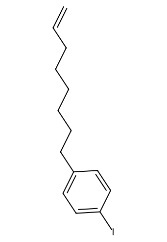 C=CCCCCCCc1ccc(I)cc1